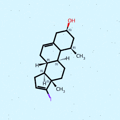 C[C@@H]1C[C@H](O)CC2=CC[C@@H]3[C@H](CC[C@]4(C)C(I)=CC[C@@H]34)C21